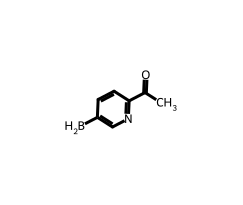 Bc1ccc(C(C)=O)nc1